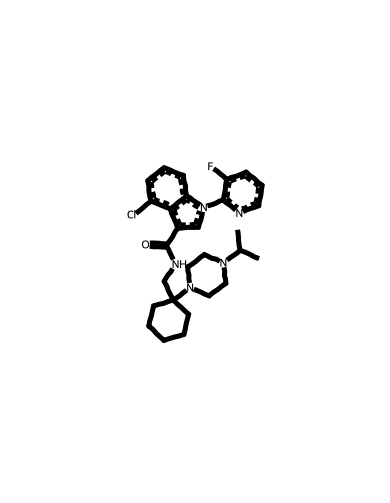 CC(C)N1CCN(C2(CNC(=O)c3cn(-c4ncccc4F)c4cccc(Cl)c34)CCCCC2)CC1